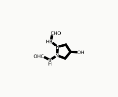 O=CBN1CC(O)CN1BC=O